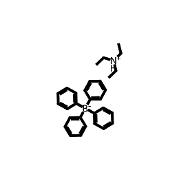 CC[NH+](CC)CC.c1ccc([B-](c2ccccc2)(c2ccccc2)c2ccccc2)cc1